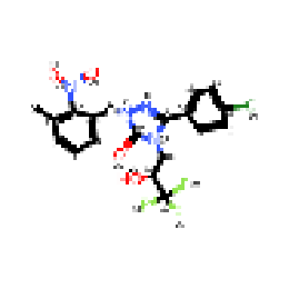 [CH2]c1cccc(Cn2nc(-c3ccc(Cl)cc3)n(C[C@H](O)C(F)(F)F)c2=O)c1[N+](=O)[O-]